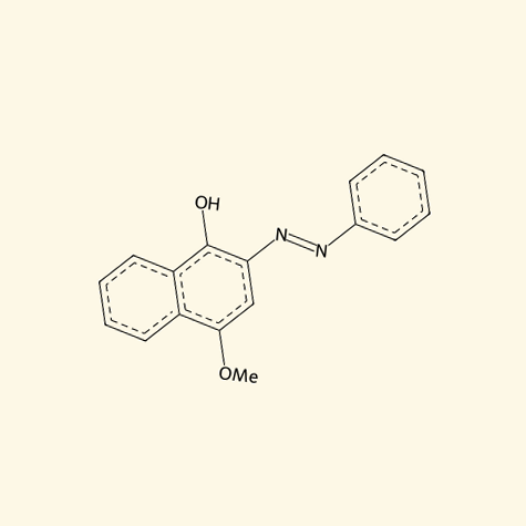 COc1cc(N=Nc2ccccc2)c(O)c2ccccc12